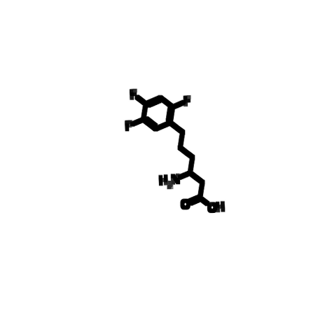 NC(CCCc1cc(F)c(F)cc1F)CC(=O)O